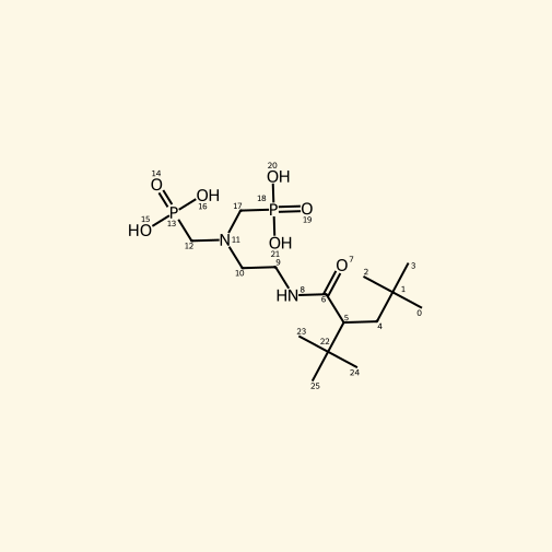 CC(C)(C)CC(C(=O)NCCN(CP(=O)(O)O)CP(=O)(O)O)C(C)(C)C